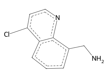 NCc1cccc2c(Cl)ccnc12